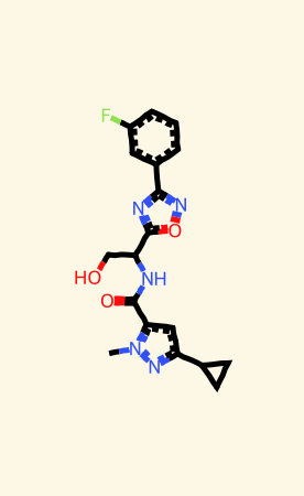 Cn1nc(C2CC2)cc1C(=O)NC(CO)c1nc(-c2cccc(F)c2)no1